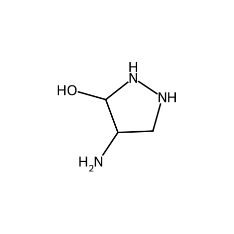 NC1CNNC1O